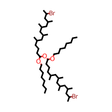 CCCCCCCCOC(CCCC(C)CC(C)CC(C)CC(C)CC(C)Br)OC(CCCC(C)CC(C)CC(C)CC(C)CC(C)Br)OCCCCCCCC